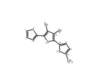 CCc1c(-c2cccs2)sc(-c2ccc(C)s2)c1CC